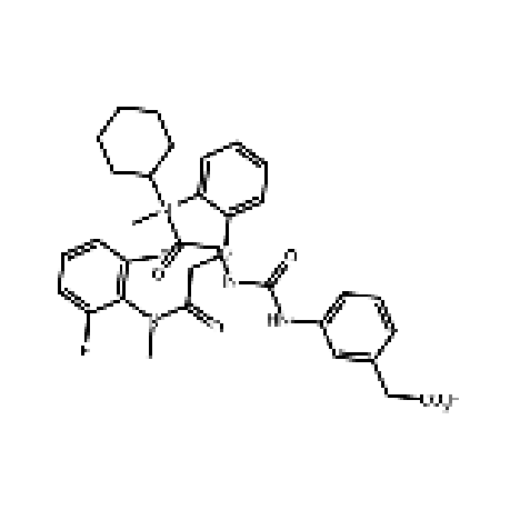 CN(C(=O)COc1ccccc1[N+](C)(C(=O)CNC(=O)Nc1cccc(CC(=O)O)c1)C1CCCCC1)c1c(F)cccc1F